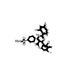 CNS(=O)(=O)[C@H]1CC[C@H](C2=C(C(=O)OC)C(c3ccc(F)c(F)c3Cl)N=C(c3c(F)cc(F)cc3F)N2)CC1